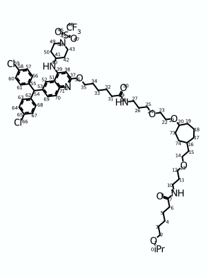 CC(C)OCCCCCC(=O)NCCCOCCC1CCCC(OCCOCCCNC(=O)CCCCCOc2cc(NC3CCN(S(=O)(=O)C(F)(F)F)CC3)c3cc(C(c4ccc(Cl)cc4)c4ccc(Cl)cc4)ccc3n2)CC1